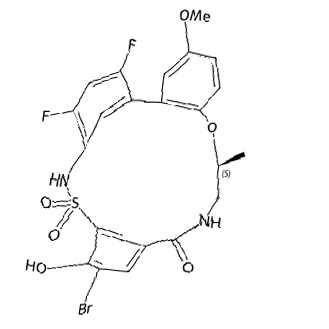 COc1ccc2c(c1)-c1cc(c(F)cc1F)NS(=O)(=O)c1cc(cc(Br)c1O)C(=O)NC[C@H](C)O2